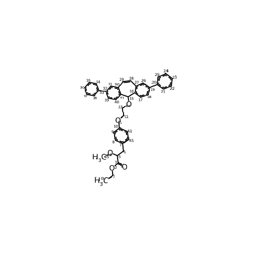 CCOC(=O)C(Cc1ccc(OCCOC2c3ccc(-c4ccccc4)cc3C=Cc3cc(-c4ccccc4)ccc32)cc1)OC